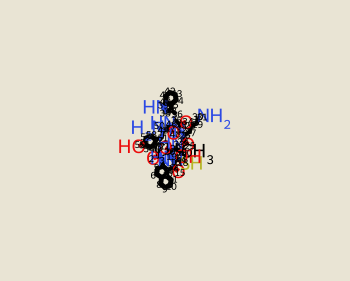 CC(=O)Nc1ccc2ccccc2c1C(=O)C(CS)NC(=O)[C@@H](NC(=O)C(CCCCN)NC(=O)[C@@H](Cc1c[nH]c2ccccc12)NC(=O)C(N)Cc1ccc(O)cc1)[C@@H](C)O